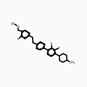 CCOCc1ccc(CCc2ccc(-c3ccc(C4CCC(C)CC4)c(F)c3F)cc2)cc1F